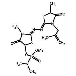 C=C(C)CN1C(=O)C(C)SC1=NN=C1SC(OP(=O)(OC)N(C)C)C(=O)N1C